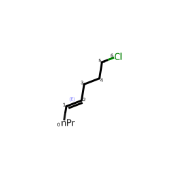 CCC/C=C/CC[CH]Cl